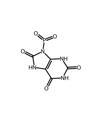 O=c1[nH]c(=O)c2[nH]c(=O)n(P(=O)=O)c2[nH]1